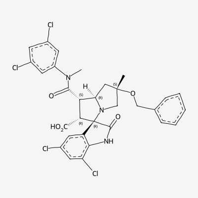 CN(C(=O)[C@@H]1[C@H]2C[C@](C)(OCc3ccccc3)CN2[C@]2(C(=O)Nc3c(Cl)cc(Cl)cc32)[C@@H]1C(=O)O)c1cc(Cl)cc(Cl)c1